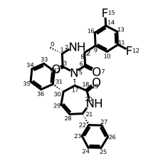 C[C@H](N)C(=O)N(C(=O)Cc1cc(F)cc(F)c1)[C@@H]1C(=O)N[C@H](c2ccccc2)C=C[C@@H]1c1ccccc1